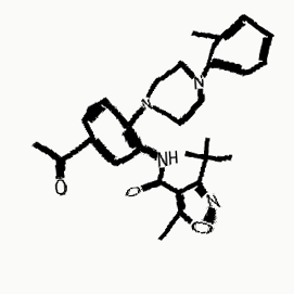 CC(=O)c1ccc(N2CCN(c3ccccc3C)CC2)c(NC(=O)c2c(C(C)(C)C)noc2C)c1